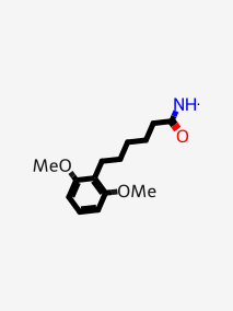 COc1cccc(OC)c1CCCCCC([NH])=O